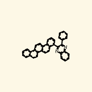 c1ccc(-c2nc3ccccc3nc2-c2cccc3c2ccc2c3ccc3c4ccccc4ccc32)cc1